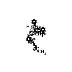 CCOC(=O)CCCNC(=O)c1cccc(CN2CCN(c3c(C)n(Cc4c(F)cccc4C(F)(F)F)c(=O)n(C[C@H](N)c4ccccc4)c3=O)CC2)c1